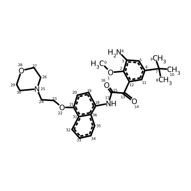 COc1c(N)cc(C(C)(C)C)cc1C(=O)C(=O)Nc1ccc(OCCN2CCOCC2)c2ccccc12